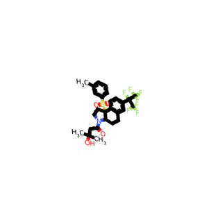 Cc1cccc(S(=O)(=O)C23CCN(C(=O)CC(C)(C)O)C2CCc2cc(C(F)(C(F)(F)F)C(F)(F)F)ccc23)c1